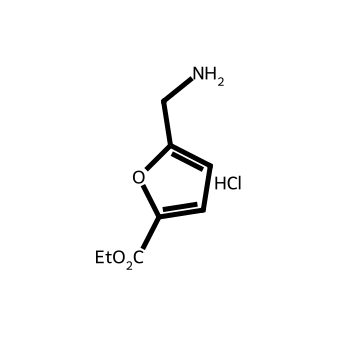 CCOC(=O)c1ccc(CN)o1.Cl